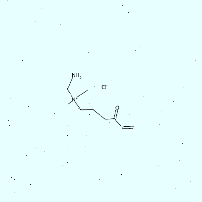 C=CC(=O)CCC[N+](C)(C)CN.[Cl-]